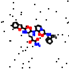 C[C@]12CCC(CC1NC(=O)Cn1cccc(NC(=O)[C@H](CCC(=O)C(N)=O)NC(=O)c3cc4ccccc4o3)c1=O)C2